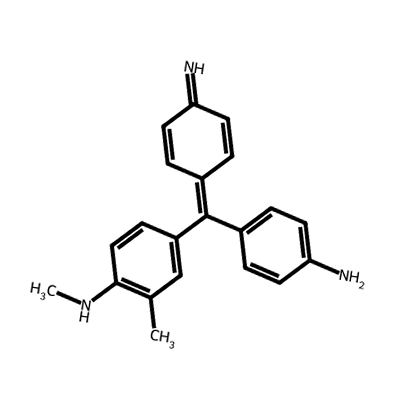 CNc1ccc(C(=C2C=CC(=N)C=C2)c2ccc(N)cc2)cc1C